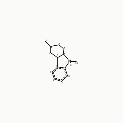 CC1CCC2C(C1)c1ccccc1N2C